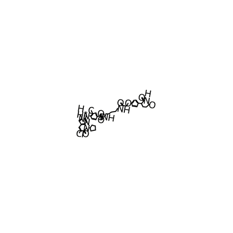 Cc1cc(S(=O)(=O)NCCCCCNC(=O)COc2ccc(C3CCC(=O)NC3=O)cc2)ccc1Nc1ncc2cc(Cl)c(=O)n(C3CCCC3)c2n1